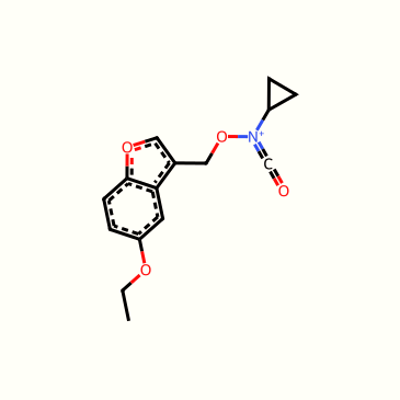 CCOc1ccc2occ(CO[N+](=C=O)C3CC3)c2c1